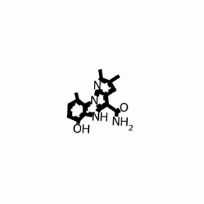 Cc1cc2c(C(N)=O)c3[nH]c4c(O)ccc(C)c4n3c2nc1C